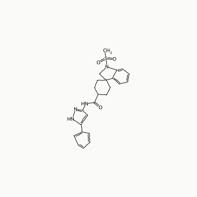 CS(=O)(=O)N1CC2(CCC(C(=O)Nc3cc(-c4ccccc4)[nH]n3)CC2)c2ccccc21